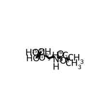 CC(C)(C)OC(=O)NCCCOC(O)(O)O